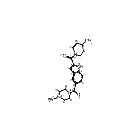 CC1CCN(C(=O)c2cc3cc(C(=O)N4CCN(C(C)C)CC4)ccc3[nH]2)CC1